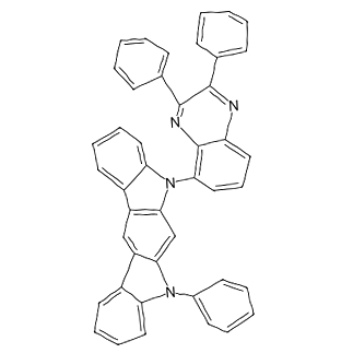 c1ccc(-c2nc3cccc(-n4c5ccccc5c5cc6c7ccccc7n(-c7ccccc7)c6cc54)c3nc2-c2ccccc2)cc1